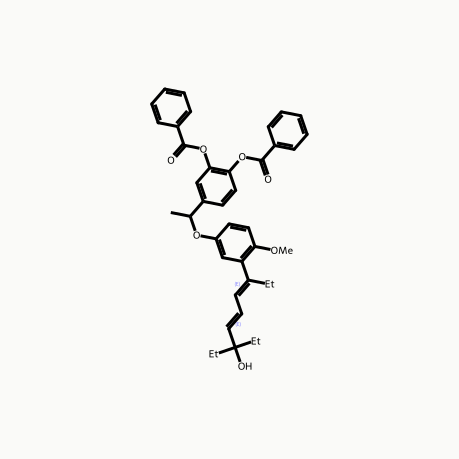 CC/C(=C\C=C\C(O)(CC)CC)c1cc(OC(C)c2ccc(OC(=O)c3ccccc3)c(OC(=O)c3ccccc3)c2)ccc1OC